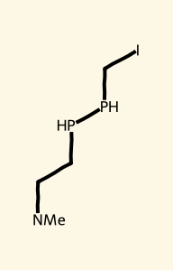 CNCCPPCI